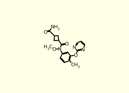 CON(C(=O)C1CC(C(N)=O)C1)c1ccc(C)c(Oc2ncccn2)c1